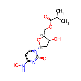 CC(C)C(=O)OC[C@H]1O[C@@H](n2ccc(NO)nc2=O)CC1O